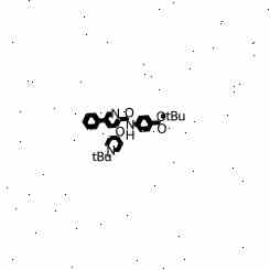 CC(C)(C)OC(=O)c1ccc(NC(=O)c2ncc(-c3ccccc3)cc2OC2CCN(C(C)(C)C)CC2)cc1